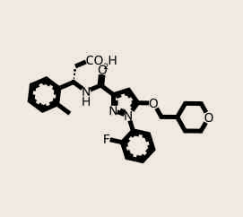 Cc1ccccc1[C@H](CC(=O)O)NC(=O)c1cc(OCC2CCOCC2)n(-c2ccccc2F)n1